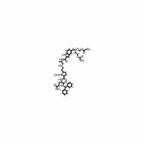 CC(CNCCC1CCC(C(=O)NC(CCC(N)=O)C(=O)NC(c2ccccc2)c2ccccc2)N1C=O)NC(=O)c1cc2cc(CP(OCOC(=O)C(C)(C)C)OCOC(=O)C(C)(C)C)ccc2[nH]1